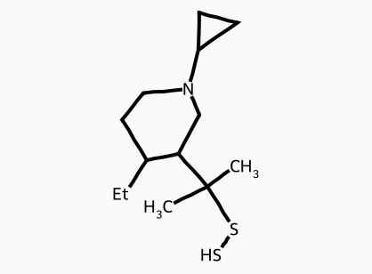 CCC1CCN(C2CC2)CC1C(C)(C)SS